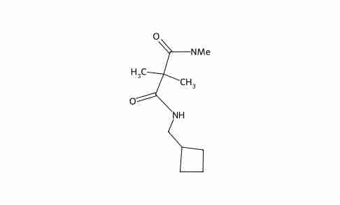 CNC(=O)C(C)(C)C(=O)NCC1CCC1